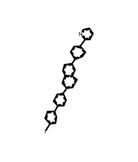 Ic1ccc(-c2ccc(-c3ccc4cc(-c5ccc(-c6ccccn6)cc5)ccc4c3)cc2)cc1